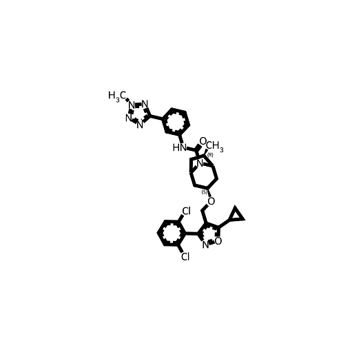 C[C@@H]1CC2C[C@H](OCc3c(-c4c(Cl)cccc4Cl)noc3C3CC3)CC1N2C(=O)Nc1cccc(-c2nnn(C)n2)c1